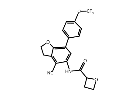 N#Cc1c(NC(=O)C2CCO2)cc(-c2ccc(OC(F)(F)F)cc2)c2c1CCO2